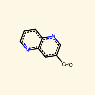 O=[C]c1cnc2cccnc2c1